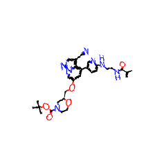 C=C(C)C(=O)NCCNc1ccc(-c2cc(OC[C@@H]3CN(C(=O)OC(C)(C)C)CCO3)cn3ncc(C#N)c23)cn1